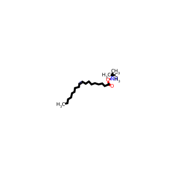 CCCCCCCC/C=C\CCCCCCCC(=O)ONC(C)(C)C